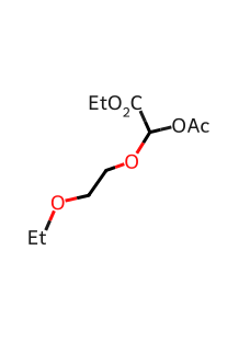 CCOCCOC(OC(C)=O)C(=O)OCC